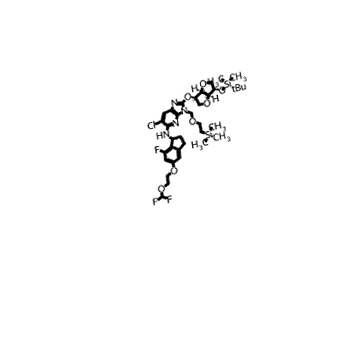 CC(C)(C)[Si](C)(C)O[C@@H]1CO[C@H]2[C@@H]1OC[C@H]2Oc1nc2cc(Cl)c(NC3CCc4cc(OCCOC(F)F)cc(F)c43)nc2n1COCC[Si](C)(C)C